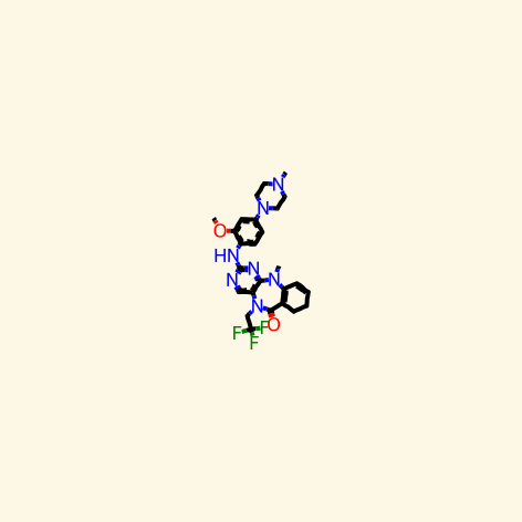 COc1cc(N2CCN(C)CC2)ccc1Nc1ncc2c(n1)N(C)C1=C(CCC=C1)C(=O)N2CC(F)(F)F